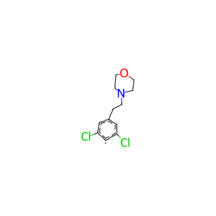 Clc1[c]c(Cl)cc(CCN2CCOCC2)c1